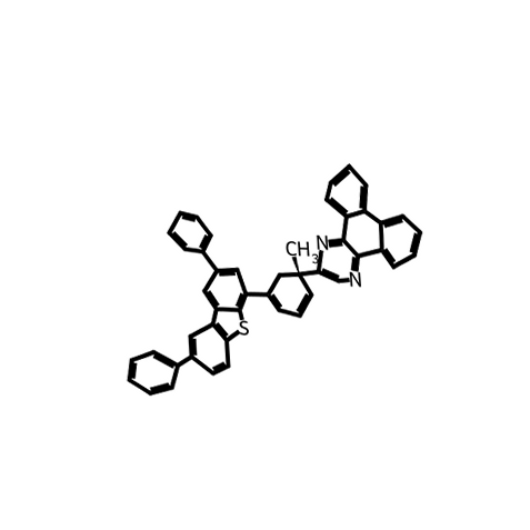 C[C@@]1(c2cnc3c4ccccc4c4ccccc4c3n2)C=CC=C(c2cc(-c3ccccc3)cc3c2sc2ccc(-c4ccccc4)cc23)C1